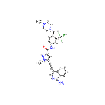 CN1CCN(Cc2ccc(NC(=O)c3cc(C#Cc4cnc(N)c5ccccc45)n(C)n3)cc2C(F)(F)F)CC1